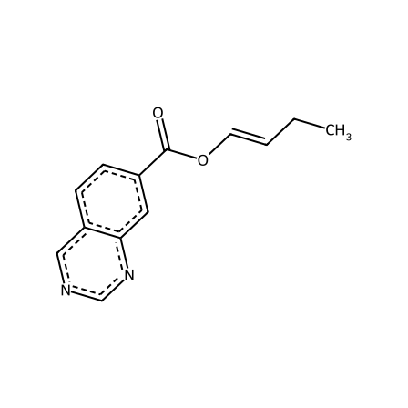 CCC=COC(=O)c1ccc2cncnc2c1